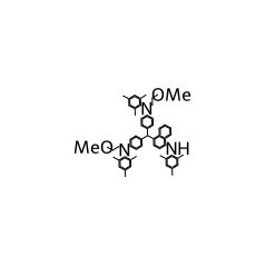 COCCN(c1ccc(C(c2ccc(N(CCOC)c3c(C)cc(C)cc3C)cc2)c2ccc(Nc3c(C)cc(C)cc3C)c3ccccc23)cc1)c1c(C)cc(C)cc1C